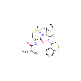 CN[C@@H](C)C(=O)N[C@H]1CCS[C@H]2CC3(CC=CC3)[C@@H](C(=O)NC3CCSc4ccccc43)N2C1=O